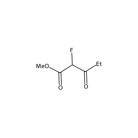 CCC(=O)C(F)C(=O)OC